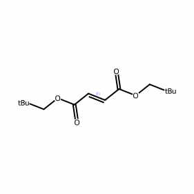 CC(C)(C)COC(=O)/C=C/C(=O)OCC(C)(C)C